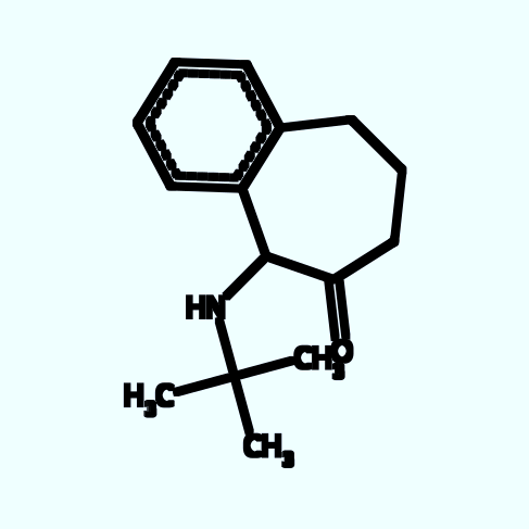 CC(C)(C)NC1C(=O)CCCc2ccccc21